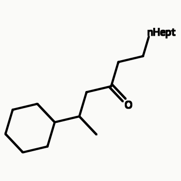 CCCCCCCCCC(=O)CC(C)C1CCCCC1